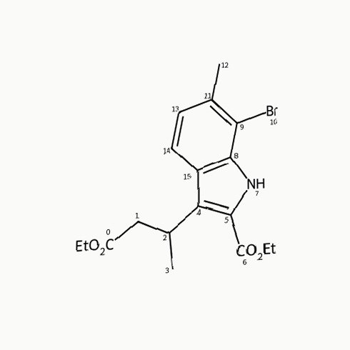 CCOC(=O)CC(C)c1c(C(=O)OCC)[nH]c2c(Br)c(C)ccc12